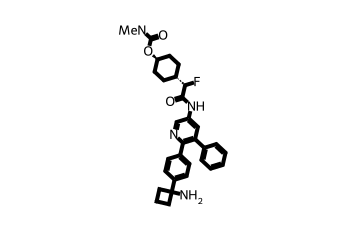 CNC(=O)O[C@H]1CC[C@H](C(F)C(=O)Nc2cnc(-c3ccc(C4(N)CCC4)cc3)c(-c3ccccc3)c2)CC1